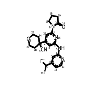 N#CC1(c2cc(Nc3cc(C(F)F)ccn3)nc(N3CCCC3=O)c2)CCOCC1